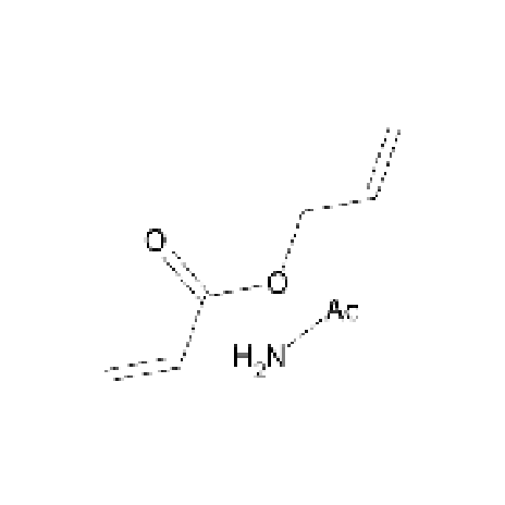 C=CCOC(=O)C=C.CC(N)=O